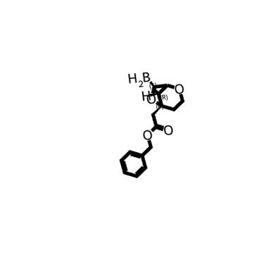 B[C@@H]1O[C@@]2(CC(=O)OCc3ccccc3)CCOC1[C@H]2I